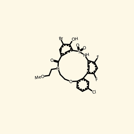 COCCN1CCOc2ccc(Cl)cc2-c2cc(c(F)cc2F)NS(=O)(=O)c2cc(cc(Br)c2O)C1=O